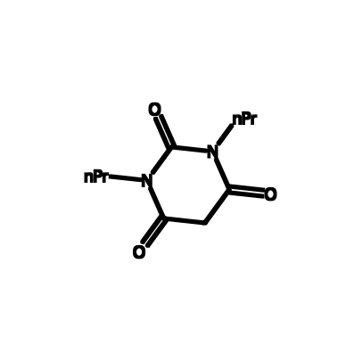 CCCN1C(=O)CC(=O)N(CCC)C1=O